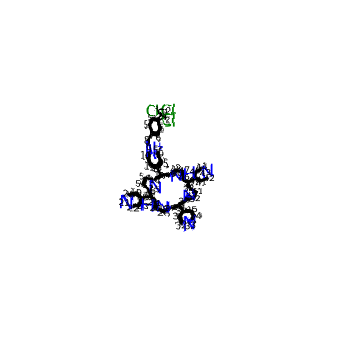 Cl[Si](Cl)(Cl)c1ccc(C[n+]2ccc(-c3c4nc(c(-c5ccncc5)c5ccc([nH]5)c(-c5ccncc5)c5nc(c(-c6ccncc6)c6ccc3[nH]6)C=C5)C=C4)cc2)cc1